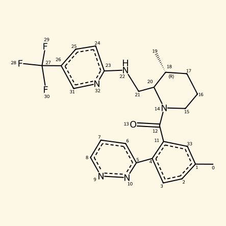 Cc1ccc(-c2cccnn2)c(C(=O)N2CCC[C@@H](C)C2CNc2ccc(C(F)(F)F)cn2)c1